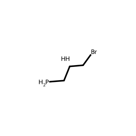 PCCCBr.[HH]